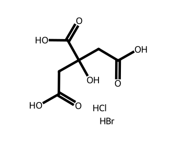 Br.Cl.O=C(O)CC(O)(CC(=O)O)C(=O)O